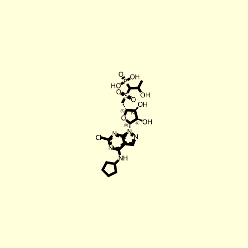 CC(O)C(P(=O)(O)O)S(=O)(=O)C[C@H]1O[C@@H](n2ncc3c(NC4CCCC4)nc(Cl)nc32)[C@H](O)[C@@H]1O